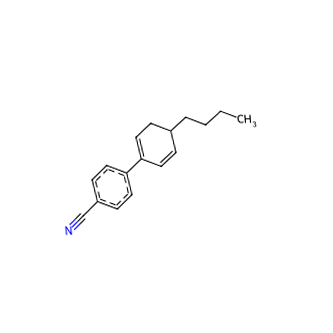 CCCCC1C=CC(c2ccc(C#N)cc2)=CC1